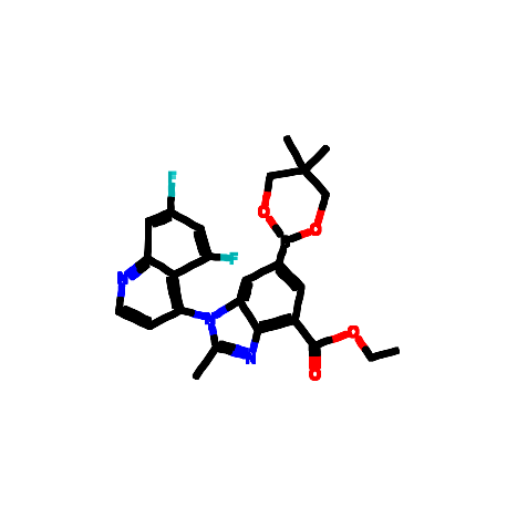 CCOC(=O)c1cc(B2OCC(C)(C)CO2)cc2c1nc(C)n2-c1ccnc2cc(F)cc(F)c12